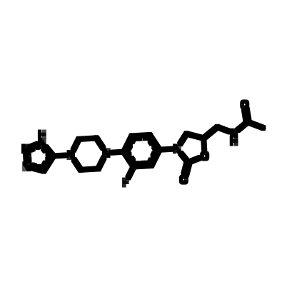 CC(=O)NCC1CN(c2ccc(N3CCN(c4cnn[nH]4)CC3)c(F)c2)C(=O)O1